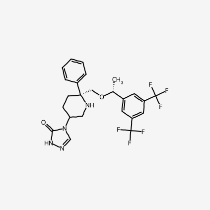 C[C@@H](OC[C@@]1(c2ccccc2)CCC(n2cn[nH]c2=O)CN1)c1cc(C(F)(F)F)cc(C(F)(F)F)c1